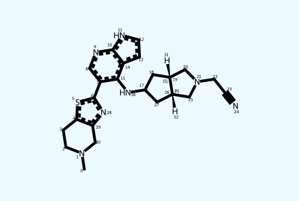 CN1CCc2sc(-c3cnc4[nH]ccc4c3NC3C[C@@H]4CN(CC#N)C[C@@H]4C3)nc2C1